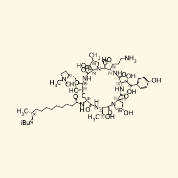 CC[C@H](C)C[C@H](C)CCCCCCCCC(=O)N[C@H]1C[C@@H](O)[C@@H](OC[C@H]2CC[N+]2(C)C)NC(=O)[C@@H]2[C@@H](O)[C@@H](C)CN2C(=O)[C@H]([C@H](O)CCN)NC(=O)[C@H]([C@H](O)[C@@H](O)c2ccc(O)cc2)NC(=O)[C@@H]2C[C@@H](O)CN2C(=O)[C@H]([C@@H](C)O)NC1=O